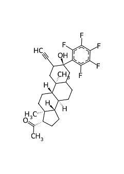 C#CC1C[C@@]2(C)C(CC[C@H]3[C@@H]4CC[C@H](C(C)=O)[C@@]4(C)CC[C@@H]32)C[C@@]1(O)c1c(F)c(F)c(F)c(F)c1F